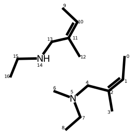 CC=C(C)CN(C)CC.CC=C(C)CNCC